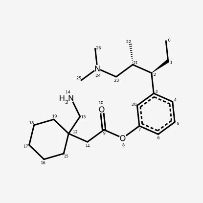 CC[C@@H](c1cccc(OC(=O)CC2(CN)CCCCC2)c1)[C@@H](C)CN(C)C